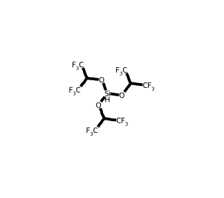 FC(F)(F)C(O[SiH](OC(C(F)(F)F)C(F)(F)F)OC(C(F)(F)F)C(F)(F)F)C(F)(F)F